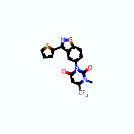 Cn1c(C(F)(F)F)cc(=O)n(-c2ccc3snc(-c4cccs4)c3c2)c1=O